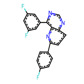 Fc1ccc(-c2ccc3ncnc(-c4cc(F)cc(F)c4)c3n2)cc1